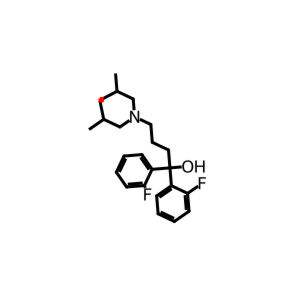 CC(C)CN(CCCC(O)(c1ccccc1F)c1ccccc1F)CC(C)C